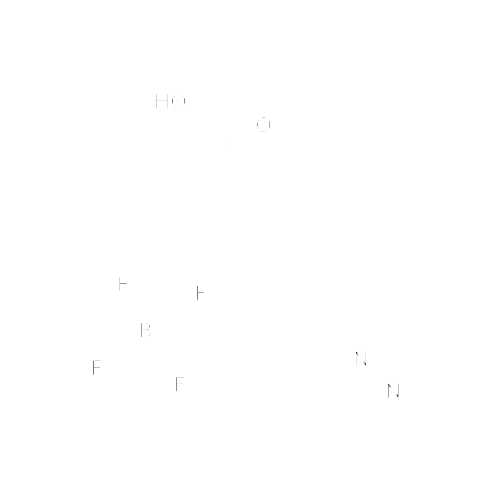 F[B-](F)(F)F.N#[N+]c1ccc(CC(=O)O)cc1